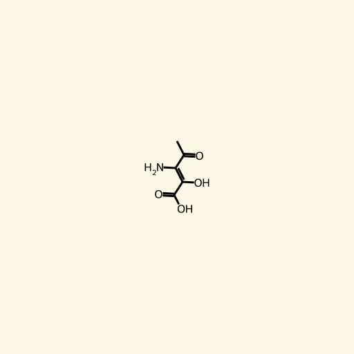 CC(=O)C(N)=C(O)C(=O)O